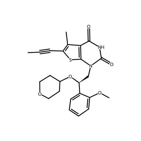 CC#Cc1sc2c(c1C)c(=O)[nH]c(=O)n2C[C@H](OC1CCOCC1)c1ccccc1OC